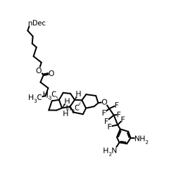 CCCCCCCCCCCCCCCCOC(=O)CCC(C)[C@H]1CC[C@H]2[C@@H]3CCC4CC(OC(F)(F)C(F)(F)C(F)(F)c5cc(N)cc(N)c5)CC[C@]4(C)[C@H]3CC[C@]12C